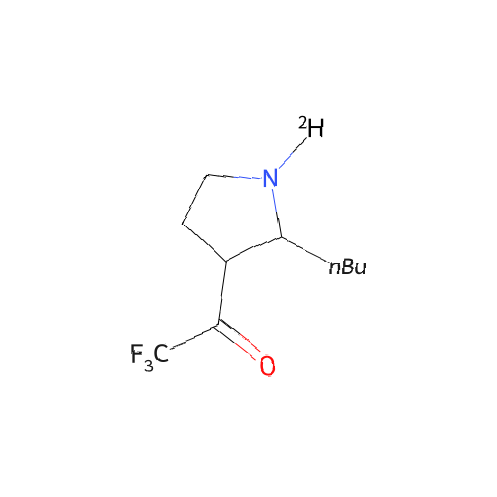 [2H]N1CCC(C(=O)C(F)(F)F)C1CCCC